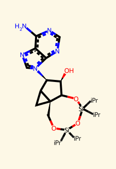 CC(C)[Si]1(C(C)C)OC[C@@]23CC2[C@@H](n2cnc4c(N)ncnc42)[C@@H](O)C3O[Si](C(C)C)(C(C)C)O1